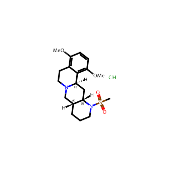 COc1ccc(OC)c2c1CCN1C[C@H]3CCCN(S(C)(=O)=O)[C@H]3C[C@H]21.Cl